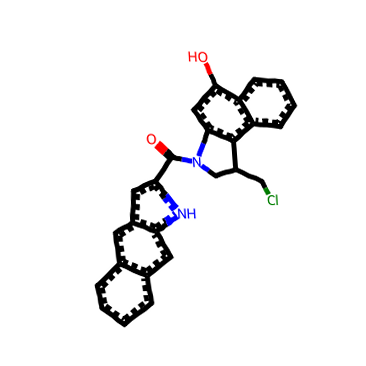 O=C(c1cc2cc3ccccc3cc2[nH]1)N1CC(CCl)c2c1cc(O)c1ccccc21